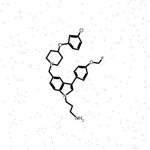 NCCCn1cc(-c2ccc(OCF)cc2)c2cc(CN3CCC(Oc4cccc(Cl)c4)CC3)ccc21